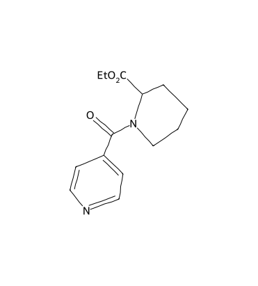 CCOC(=O)C1CCCCN1C(=O)c1ccncc1